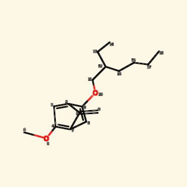 C=C1C2=CC(OC)=C1C=C2OCC(CC)CCCC